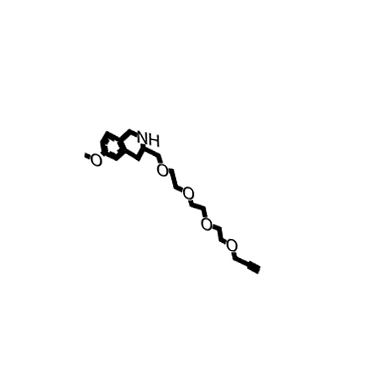 C#CCOCCOCCOCCOCC1Cc2cc(OC)ccc2CN1